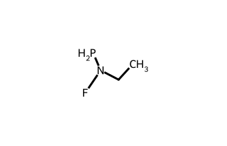 CCN(F)P